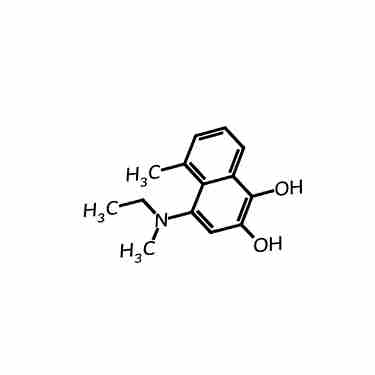 CCN(C)c1cc(O)c(O)c2cccc(C)c12